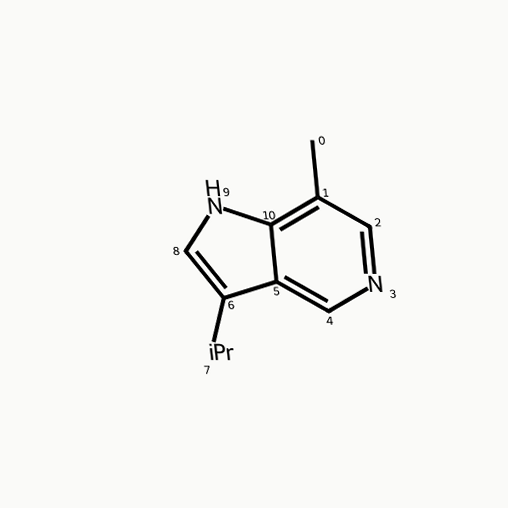 Cc1cncc2c(C(C)C)c[nH]c12